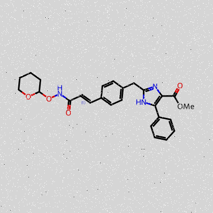 COC(=O)c1nc(Cc2ccc(/C=C/C(=O)NOC3CCCCO3)cc2)[nH]c1-c1ccccc1